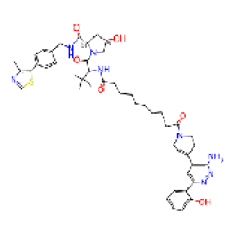 Cc1ncsc1-c1ccc(CNC(=O)[C@@H]2C[C@@H](O)CN2C(=O)C(NC(=O)CCCCCCCCC(=O)N2CC=C(c3cc(-c4ccccc4O)nnc3N)CC2)C(C)(C)C)cc1